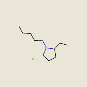 CCCCCN1CCCC1CC.Cl